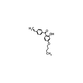 C=Cc1ccc(C(=O)c2ccc(OCCCC)cc2O)cc1